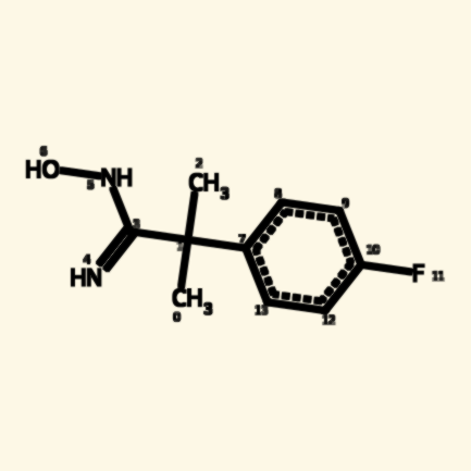 CC(C)(C(=N)NO)c1ccc(F)cc1